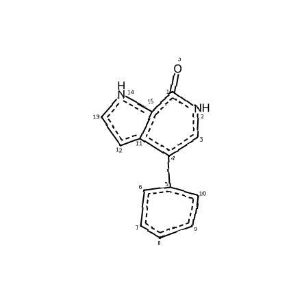 O=c1[nH]cc(-c2ccccc2)c2cc[nH]c12